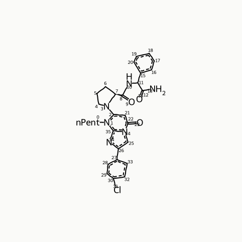 CCCCCn1c(N2CCC[C@H]2C(=O)NC(C(N)=O)c2ccccc2)cc(=O)n2cc(-c3ccc(Cl)cc3)nc12